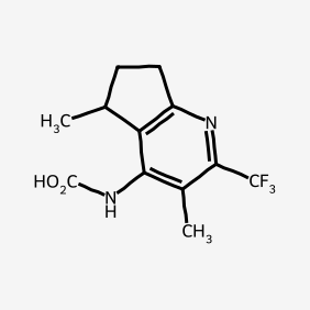 Cc1c(C(F)(F)F)nc2c(c1NC(=O)O)C(C)CC2